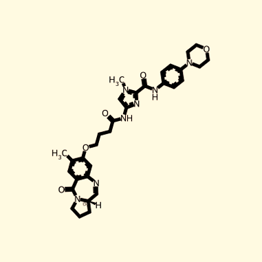 Cc1cc2c(cc1OCCCC(=O)Nc1cn(C)c(C(=O)Nc3ccc(N4CCOCC4)cc3)n1)N=C[C@@H]1CCCN1C2=O